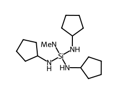 CN[Si](NC1CCCC1)(NC1CCCC1)NC1CCCC1